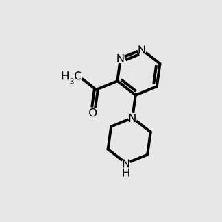 CC(=O)c1nnccc1N1CCNCC1